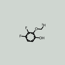 [2H]COc1c(O)ccc(F)c1F